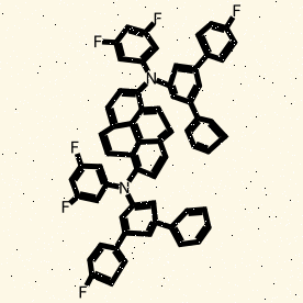 Fc1ccc(-c2cc(-c3ccccc3)cc(N(c3cc(F)cc(F)c3)c3ccc4ccc5c(N(c6cc(F)cc(F)c6)c6cc(-c7ccccc7)cc(-c7ccc(F)cc7)c6)ccc6ccc3c4c65)c2)cc1